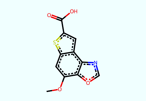 COc1cc2sc(C(=O)O)cc2c2ncoc12